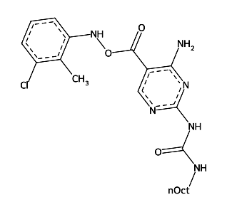 CCCCCCCCNC(=O)Nc1ncc(C(=O)ONc2cccc(Cl)c2C)c(N)n1